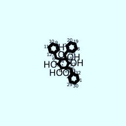 OC1C(O)C(O)(Cc2ccccc2)C(O)(Cc2ccccc2)C(O)C1(O)Cc1ccccc1